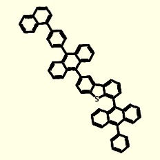 c1ccc(-c2c3ccccc3c(-c3cccc4c3sc3ccc(-c5c6ccccc6c(-c6ccc(-c7cccc8ccccc78)cc6)c6ccccc56)cc34)c3ccccc23)cc1